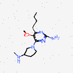 CCCCc1nc(N)nc(N2CCC(NC)C2)c1OC